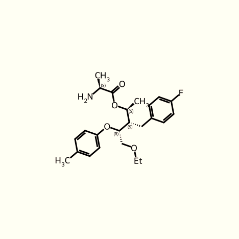 CCOC[C@H](Oc1ccc(C)cc1)[C@@H](Cc1ccc(F)cc1)[C@H](C)OC(=O)[C@H](C)N